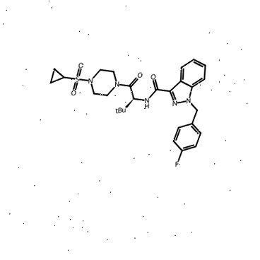 CC(C)(C)[C@H](NC(=O)c1nn(Cc2ccc(F)cc2)c2ccccc12)C(=O)N1CCN(S(=O)(=O)C2CC2)CC1